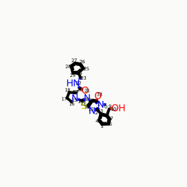 Cn1c(-c2ccccc2CO)nc2sc(N3CCC[C@@H]3C(=O)NCc3ccccc3)nc2c1=O